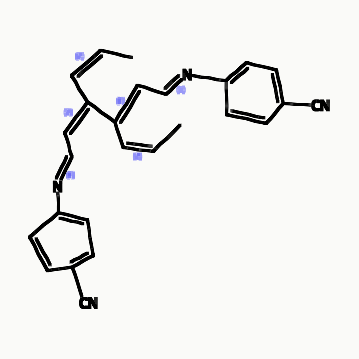 C\C=C/C(=C/C=N/c1ccc(C#N)cc1)C(/C=C\C)=C/C=N/c1ccc(C#N)cc1